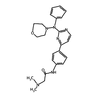 CN(C)CC(=O)Nc1ccc(-c2ccnc(N(c3ccccc3)N3CCOCC3)n2)cc1